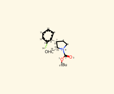 CC(C)(C)OC(=O)N1CC[C@@H](c2ccccc2F)[C@H]1C=O